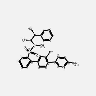 C[C@@H]([C@@H](O)c1ccccc1)N(C)S(=O)(=O)c1ccccc1-c1ccc(-c2cnc(N)cn2)c(F)c1